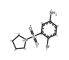 Nc1ccc(Br)c(S(=O)(=O)N2CCCC2)c1